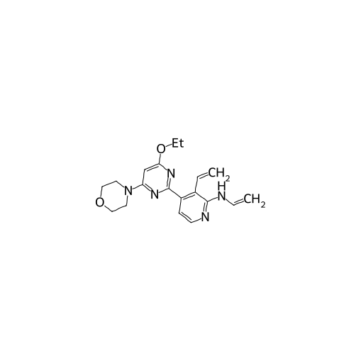 C=CNc1nccc(-c2nc(OCC)cc(N3CCOCC3)n2)c1C=C